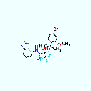 COc1cc(Br)ccc1C(C)(C)CC(O)(C(=O)NC1=C2C=NN=C2CC=C1)C(F)(F)F